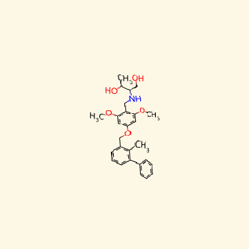 COc1cc(OCc2cccc(-c3ccccc3)c2C)cc(OC)c1CN[C@H](CO)[C@H](C)O